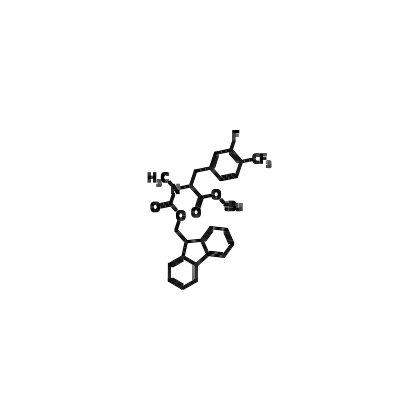 CN(C(=O)OCC1c2ccccc2-c2ccccc21)C(Cc1ccc(C(F)(F)F)c(F)c1)C(=O)OC(C)(C)C